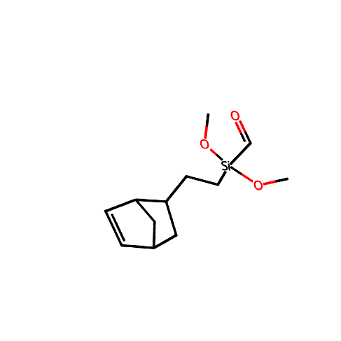 CO[Si](C=O)(CCC1CC2C=CC1C2)OC